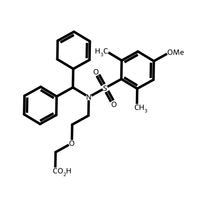 COc1cc(C)c(S(=O)(=O)N(CCOCC(=O)O)C(c2ccccc2)C2C=CC=CC2)c(C)c1